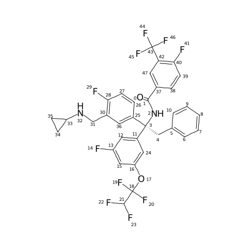 O=C(N[C@@](Cc1ccccc1)(c1cc(F)cc(OC(F)(F)C(F)F)c1)c1ccc(F)c(CNC2CC2)c1)c1ccc(F)c(C(F)(F)F)c1